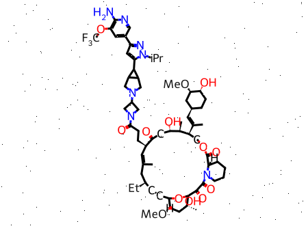 CC[C@@H]1CC[C@H]2O[C@@](O)(C(=O)C(=O)N3CCCC[C@H]3C(=O)OC[C@H](/C(C)=C/[C@@H]3CC[C@@H](O)[C@H](OC)C3)[C@H](C)[C@@H](O)CC(=O)[C@H](CCC(=O)N3CC(N4CC5C(C4)C5c4cc(-c5cnc(N)c(OC(F)(F)F)c5)nn4C(C)C)C3)/C=C(\C)C1)[C@H](C)C[C@@H]2OC